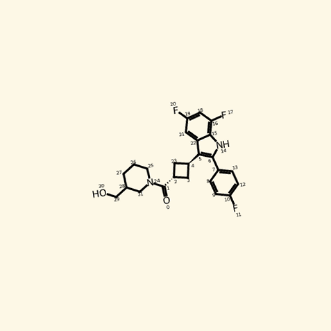 O=C([C@H]1C[C@H](c2c(-c3ccc(F)cc3)[nH]c3c(F)cc(F)cc32)C1)N1CCCC(CO)C1